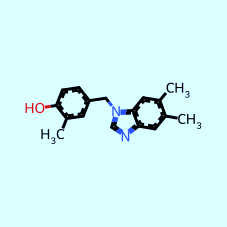 Cc1cc2ncn(Cc3ccc(O)c(C)c3)c2cc1C